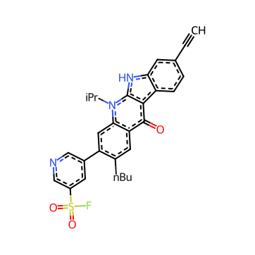 C#Cc1ccc2c(c1)[nH]c1c2c(=O)c2cc(CCCC)c(-c3cncc(S(=O)(=O)F)c3)cc2n1C(C)C